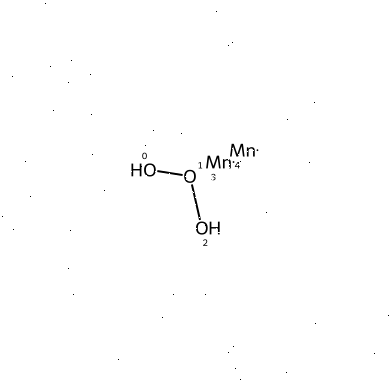 OOO.[Mn].[Mn]